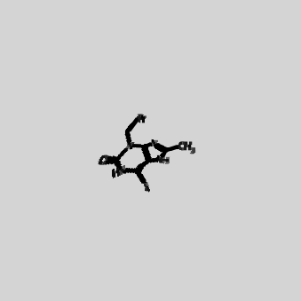 Cc1nc2c([nH]1)c(=S)[nH]c(=O)n2CC(C)C